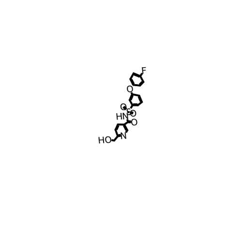 O=C(NS(=O)(=O)c1cccc(Oc2ccc(F)cc2)c1)c1ccc(CO)nc1